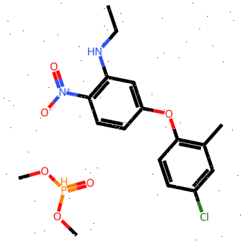 CCNc1cc(Oc2ccc(Cl)cc2C)ccc1[N+](=O)[O-].CO[PH](=O)OC